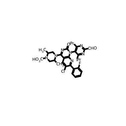 CC(C)c1nc(C=O)nc(C(C)C)c1-n1c(=O)nc(N2CC(C)N(C(=O)O)CC2C)c2cc(Cl)c(-c3ccccc3F)nc21